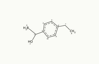 BC(O)c1ccc(CC)cc1